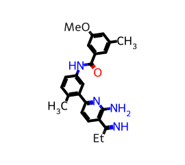 CCC(=N)c1ccc(-c2cc(NC(=O)c3cc(C)cc(OC)c3)ccc2C)nc1N